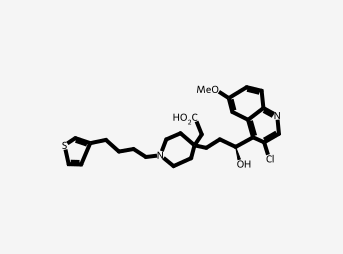 COc1ccc2ncc(Cl)c([C@@H](O)CCC3(CC(=O)O)CCN(CCCCc4ccsc4)CC3)c2c1